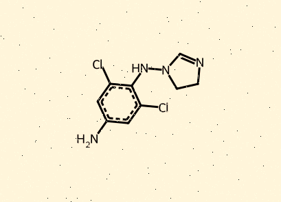 Nc1cc(Cl)c(NN2C=NCC2)c(Cl)c1